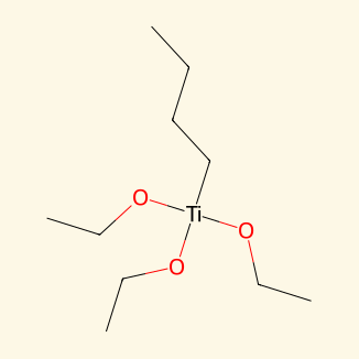 CCC[CH2][Ti]([O]CC)([O]CC)[O]CC